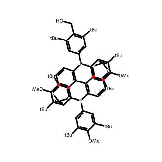 COc1c(C(C)(C)C)cc(P(c2cc(C(C)(C)C)c(CO)c(C(C)(C)C)c2)c2ccc3c(c2-c2c(P(c4cc(C(C)(C)C)c(OC)c(C(C)(C)C)c4)c4cc(C(C)(C)C)c(OC)c(C(C)(C)C)c4)ccc4c2OCO4)OCO3)cc1C(C)(C)C